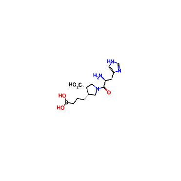 N[C@@H](Cc1c[nH]cn1)C(=O)N1C[C@H](CCCB(O)O)[C@H](C(=O)O)C1